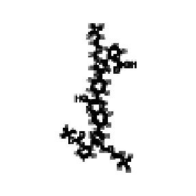 CC(C)(C)OC(=O)N1CCC[C@H]1c1nc(-c2ccc3nc(-c4ccc(-c5cn(COCC[Si](C)(C)C)c([C@@H]6CCCN6C(=O)O)n5)cc4)c(O)nc3c2)cn1COCC[Si](C)(C)C